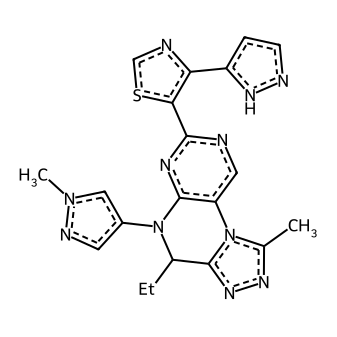 CCC1c2nnc(C)n2-c2cnc(-c3scnc3-c3ccn[nH]3)nc2N1c1cnn(C)c1